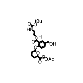 CC(=O)OOC(=O)C1CCCC(Oc2ccc(CO)cc2C(=O)NCCNC(=O)OC(C)(C)C)O1